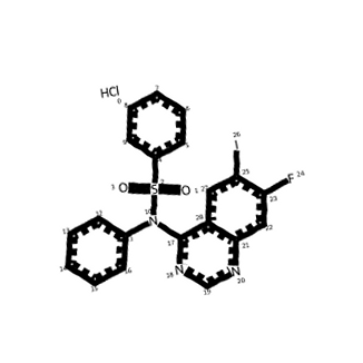 Cl.O=S(=O)(c1ccccc1)N(c1ccccc1)c1ncnc2cc(F)c(I)cc12